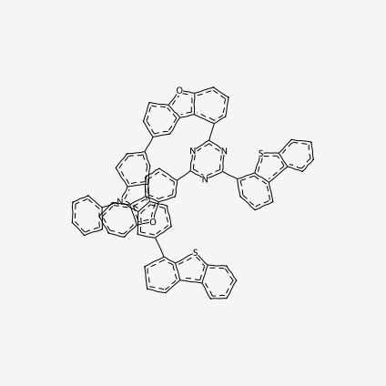 c1ccc(-n2c3ccc(-c4ccc5oc6cccc(-c7nc(-c8ccc9c(c8)oc8ccccc89)nc(-c8cccc9c8sc8ccccc89)n7)c6c5c4)cc3c3ccc(-c4cccc5c4sc4ccccc45)cc32)cc1